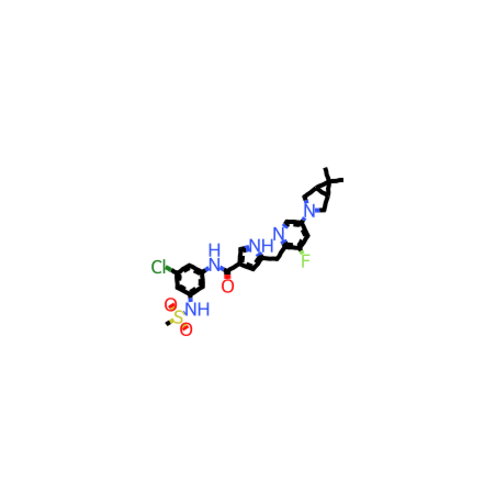 CC1(C)C2CN(c3cnc(Cc4cc(C(=O)Nc5cc(Cl)cc(NS(C)(=O)=O)c5)c[nH]4)c(F)c3)CC21